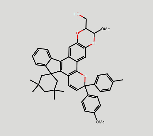 COc1ccc(C2(c3ccc(C)cc3)C=Cc3c4c(c5cc6c(cc5c3O2)OC(OC)C(CO)O6)-c2ccccc2C42CC(C)(C)CC(C)(C)C2)cc1